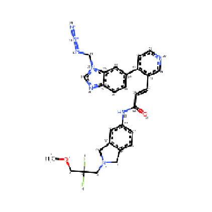 COCC(F)(F)CN1Cc2ccc(NC(=O)/C=C/c3cnccc3-c3ccc4ncn(CN=[N+]=[N-])c4c3)cc2C1